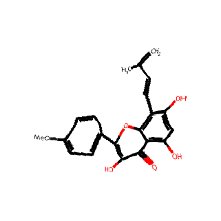 C=C(C)C=Cc1c(O)cc(O)c2c(=O)c(O)c(-c3ccc(OC)cc3)oc12